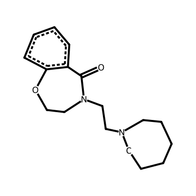 O=C1c2ccccc2OCCN1CCN1CCCCCC1